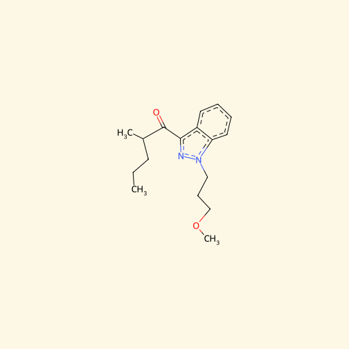 CCCC(C)C(=O)c1nn(CCCOC)c2ccccc12